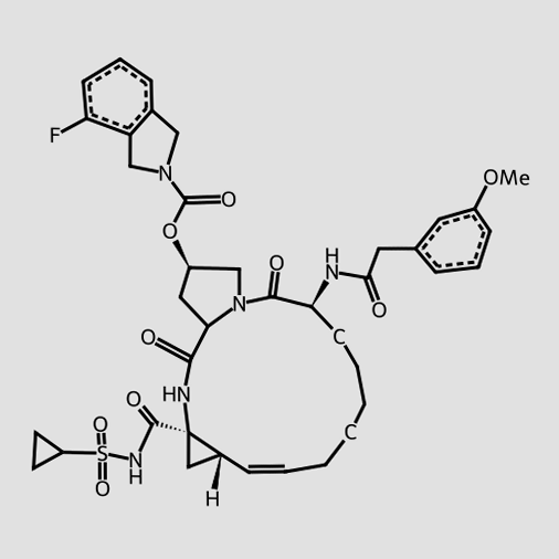 COc1cccc(CC(=O)N[C@H]2CCCCC/C=C\[C@@H]3C[C@@]3(C(=O)NS(=O)(=O)C3CC3)NC(=O)C3C[C@@H](OC(=O)N4Cc5cccc(F)c5C4)CN3C2=O)c1